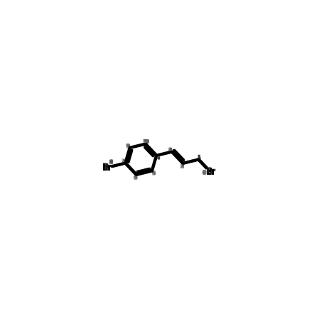 BrCC=Cc1ccc(Br)cc1